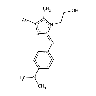 CC(=O)c1s/c(=N\c2ccc(N(C)C)cc2)n(CCO)c1C